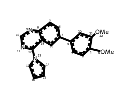 COc1ccc(-c2ccc3ncnc(-n4cccc4)c3c2)cc1OC